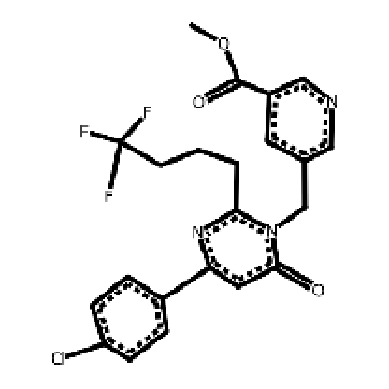 COC(=O)c1cncc(Cn2c(CCCC(F)(F)F)nc(-c3ccc(Cl)cc3)cc2=O)c1